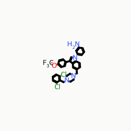 Nc1cccc(-n2cc(-c3ccc(OC(F)(F)F)cc3)c3cc(CN4CCN(Cc5c(Cl)cccc5Cl)CC4)ccc32)c1